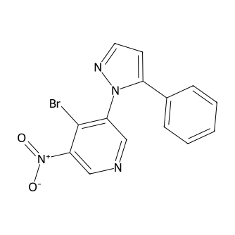 O=[N+]([O-])c1cncc(-n2nccc2-c2ccccc2)c1Br